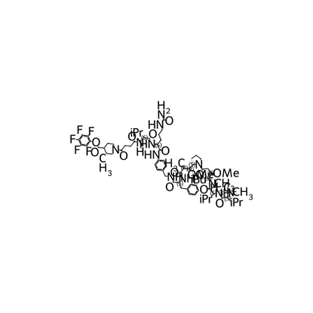 CC[C@H](C)[C@@H]([C@@H](CC(=O)N1CCC[C@H]1[C@H](OC)[C@@H](C)C(=O)N[C@@H](Cc1ccccc1)C(=O)NCc1ccc(NC(=O)[C@H](CCCNC(N)=O)NC(=O)[C@@H](NC(=O)CCC(=O)N2CCC(C(=O)Oc3c(F)c(F)c(F)c(F)c3F)C(C)C2)C(C)C)cc1)OC)N(C)C(=O)[C@@H](NC(=O)[C@H](C(C)C)N(C)C)C(C)C